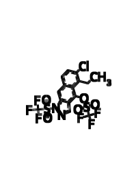 CCc1c(Cl)ccc2cc3c(cnn3S(=O)(=O)C(F)(F)F)c(OS(=O)(=O)C(F)(F)F)c12